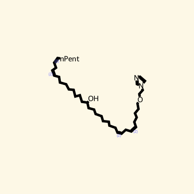 CCCCC/C=C\C/C=C\CCCCCCCCC(O)CCCCCCCC/C=C\C/C=C\CCCCCOCCn1ccnc1